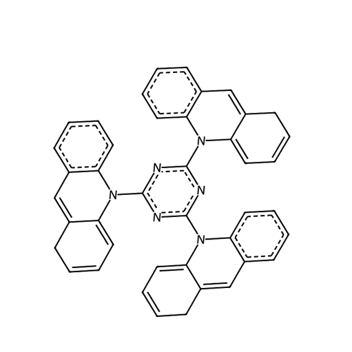 C1=CCC2=Cc3ccccc3N(c3nc(N4C5=CC=CCC5=Cc5ccccc54)nc(N4C5=CC=CCC5=Cc5ccccc54)n3)C2=C1